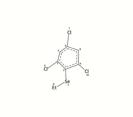 CC[Se]c1c(Cl)cc(Cl)cc1Cl